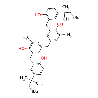 Cc1cc(Cc2cc(C)c(O)c(Cc3cc(C(C)(C)CC(C)(C)C)ccc3O)c2)cc(Cc2cc(C(C)(C)CC(C)(C)C)ccc2O)c1O